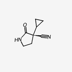 N#C[C@@]1(C2CC2)CCNC1=O